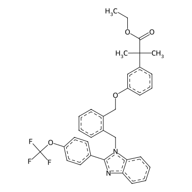 CCOC(=O)C(C)(C)c1cccc(OCc2ccccc2Cn2c(-c3ccc(OC(F)(F)F)cc3)nc3ccccc32)c1